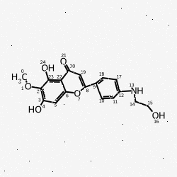 COc1c(O)cc2oc(-c3ccc(NCCO)cc3)cc(=O)c2c1O